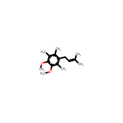 COc1c(C)c(C)c(CC=C(C)C)c(C)c1OC